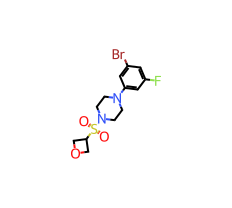 O=S(=O)(C1COC1)N1CCN(c2cc(F)cc(Br)c2)CC1